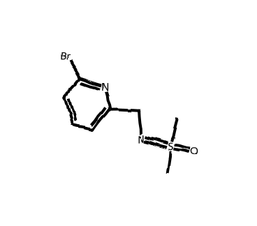 CS(C)(=O)=NCc1cccc(Br)n1